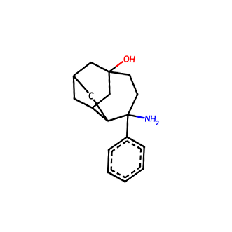 NC1(c2ccccc2)CCC2(O)CC3CC(C2)C1C3